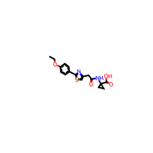 CCOc1ccc(-c2nc(CC(=O)NC3(C(=O)O)CC3)cs2)cc1